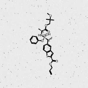 C=CCOC(=O)c1cc2cc([C@H](F)[PH](O)(N[C@@H](C)C(=O)OCC(C)(C)OC)Oc3ccccc3)ccc2s1